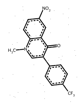 Cn1cc(-c2ccc(C(F)(F)F)cc2)c(=O)c2cc([N+](=O)[O-])ccc21